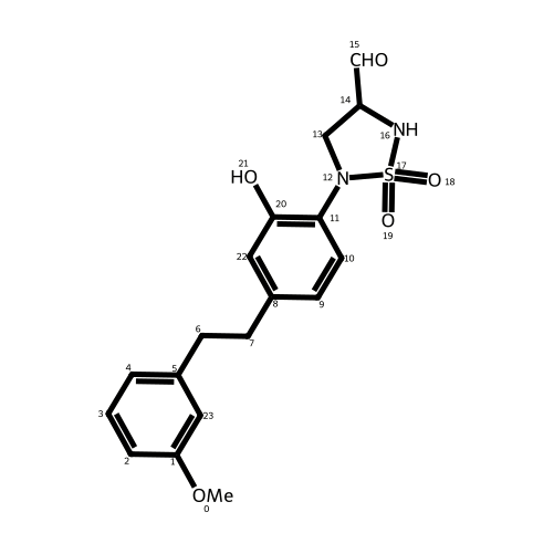 COc1cccc(CCc2ccc(N3CC(C=O)NS3(=O)=O)c(O)c2)c1